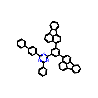 c1ccc(-c2ccc(-c3nc(-c4ccccc4)nc(-c4cc(-c5ccc6c7c(cccc57)-c5ccccc5-6)cc(-c5ccc6c7c(cccc57)-c5ccccc5-6)c4)n3)cc2)cc1